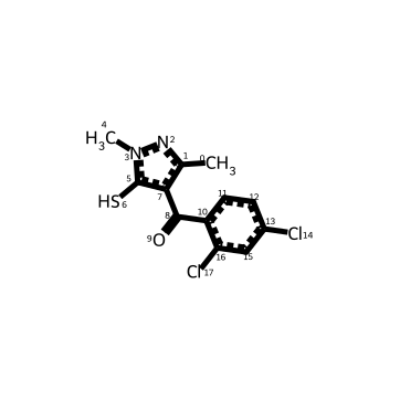 Cc1nn(C)c(S)c1C(=O)c1ccc(Cl)cc1Cl